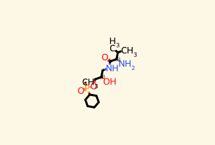 CC(C)[C@H](N)C(=O)NC[C@@H](O)COP(C)(=O)C1CCCCC1